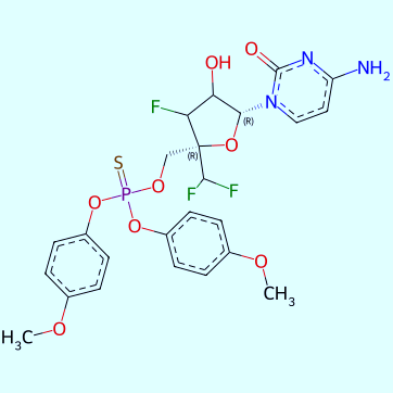 COc1ccc(OP(=S)(OC[C@@]2(C(F)F)O[C@@H](n3ccc(N)nc3=O)C(O)C2F)Oc2ccc(OC)cc2)cc1